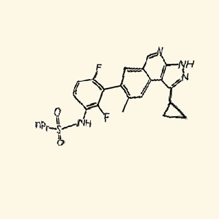 CCCS(=O)(=O)Nc1ccc(F)c(-c2cc3cnc4[nH]nc(C5CC5)c4c3cc2C)c1F